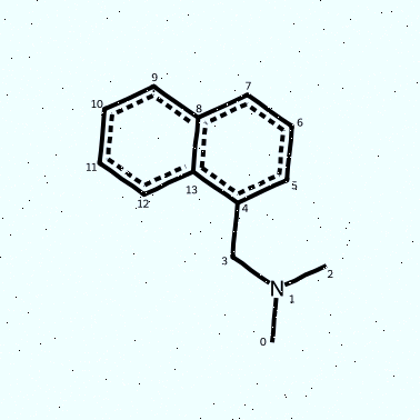 CN(C)Cc1cccc2[c]cccc12